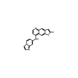 Cc1cc2cc3nccc(Nc4ccn5ccnc5c4)c3cc2s1